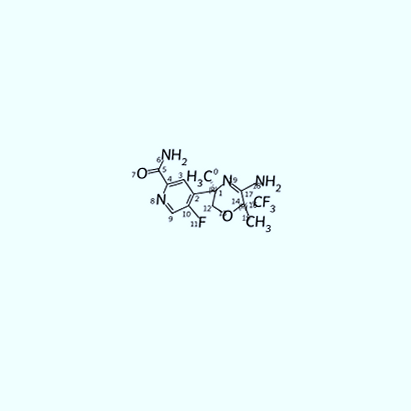 C[C@@]1(c2cc(C(N)=O)ncc2F)CO[C@@](C)(C(F)(F)F)C(N)=N1